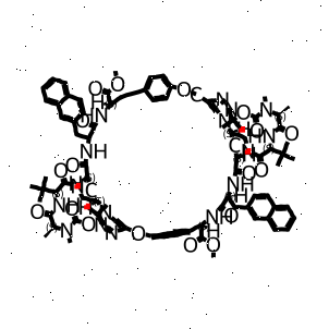 COC(=O)[C@@H]1Cc2ccc(cc2)OCc2cn(nn2)[C@H]2C[C@@H](C(=O)N[C@@H](Cc3ccc4ccccc4c3)C(=O)N[C@H](C(=O)OC)c3ccc(cc3)Oc3cn(nn3)[C@H]3C[C@@H](C(=O)NC(Cc4ccc5ccccc5c4)C(=O)N1)N(C(=O)[C@@H](NC(=O)[C@H](C)N(C)C(=O)OC(C)(C)C)C(C)(C)C)C3)N(C(=O)[C@@H](NC(=O)[C@H](C)N(C)C(=O)OC(C)(C)C)C(C)(C)C)C2